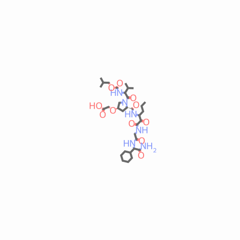 CCCC(NC(=O)[C@@H]1C[C@@H](OCC(=O)O)CN1C(=O)C(NC(=O)OCC(C)C)C(C)C)C(=O)C(=O)NCC(=O)NC(C(N)=O)C1CCCCC1